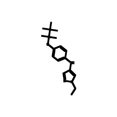 CCn1cc(Nc2ccc(O[Si](C)(C)C(C)(C)C)cc2)cn1